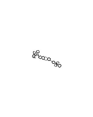 O=S(=O)(c1ccccc1)c1ccc(-c2ccc3c(c2)Cc2cc4ccc(N5c6ccccc6Oc6ccccc65)cc4cc2C3)cc1